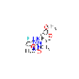 COc1cc(CCNc2nc3c(c(=O)n(C)c(=O)n3C)n2Cc2c(F)cccc2F)cc(OC)c1